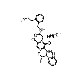 Cl.Cl.NCCc1ccccc1CNC(=O)Cn1c(Cl)cnc(NC([c+]2cccc[nH]2)C(F)F)c1=O.[Cl-]